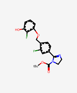 CC(C)(C)OC(=O)N1CCN=C1c1ccc(COc2cccc(O)c2F)c(F)c1